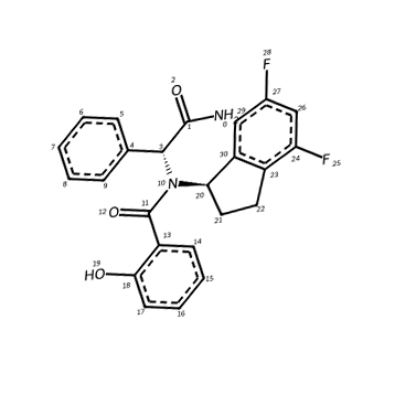 NC(=O)[C@@H](c1ccccc1)N(C(=O)c1ccccc1O)[C@@H]1CCc2c(F)cc(F)cc21